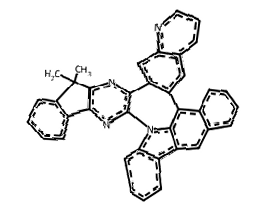 CC1(C)c2ccccc2-c2nc3c(nc21)-c1cc2ncccc2cc1-c1c2ccccc2cc2c4ccccc4n-3c12